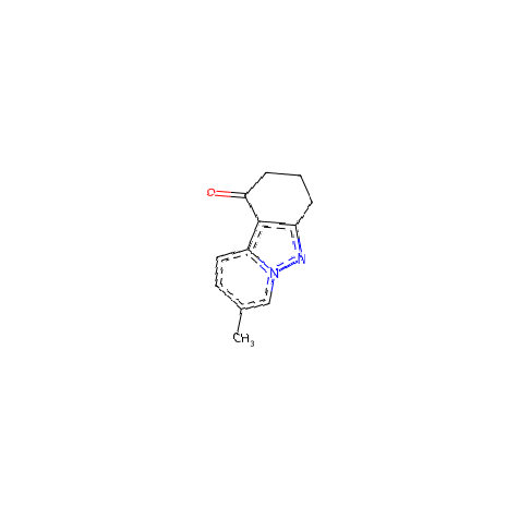 Cc1ccc2c3c(nn2c1)CCCC3=O